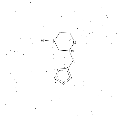 CCN1CCO[C@H](Cn2ccnc2)C1